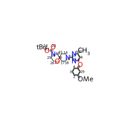 COc1cccc(Oc2cc(C)nc(N3CCC4(CC3)CN(C(=O)OC(C)(C)C)CCO4)n2)c1